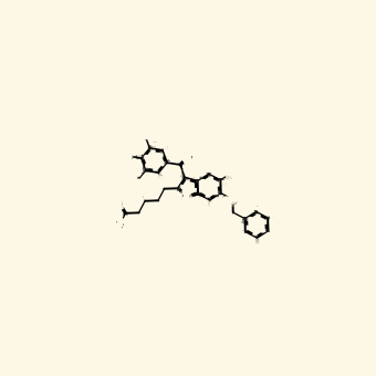 NC(=O)CCCCc1oc2cc(OCc3ccccc3)c(O)cc2c1C(=O)c1cc(I)c(O)c(I)c1